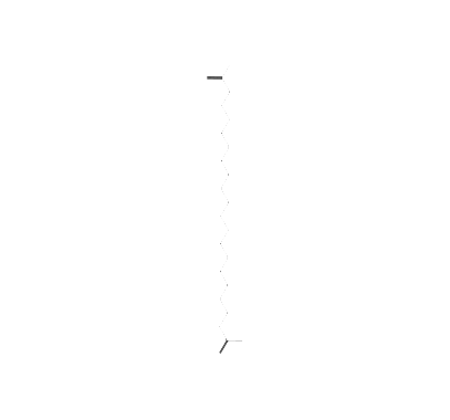 C=C(C)CCCCCCCCCCCCCCCCCCC(=C)C